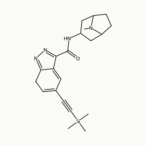 CN1C2CCC1CC(NC(=O)C1=NN=C3CC=C(C#C[Si](C)(C)C)C=C31)C2